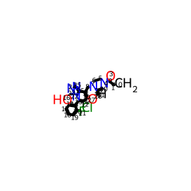 C=CC(=O)N1CCN2Cc3c(c(Cl)c(-c4c(O)cccc4F)n4cnnc34)OC[C@H]2C1